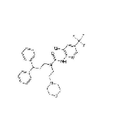 O=C(Nc1ncc(C(F)(F)F)cc1Cl)N(CCC(c1ccccc1)c1ccccc1)CCN1CCOCC1